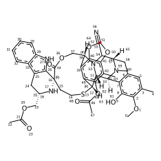 COc1c(C)cc2c(c1O)[C@H]1[C@@H]3[C@@H]4SCC[C@]5(N[C@H](COC(C)=O)Cc6c5[nH]c5ccccc65)C(=O)OC[C@@H](c5c6c(c(C)c(OC(C)=O)c54)OCO6)N3C(C#N)[C@H](C2)N1C